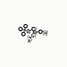 CC(C)(C)OC(=O)NCc1nn(-c2ccc(OC(F)(F)F)cc2)c2nccc(-c3cn(C(c4ccccc4)(c4ccccc4)c4ccccc4)cn3)c12